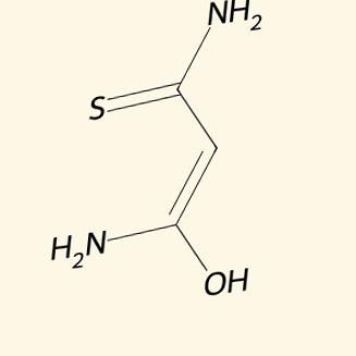 NC(=S)/C=C(\N)O